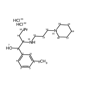 Cc1cccc(C(O)C(CC(C)C)NCCCN2CCCCC2)c1.Cl.Cl